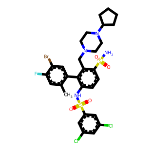 Cc1cc(F)c(Br)cc1-c1c(NS(=O)(=O)c2cc(Cl)cc(Cl)c2)ccc(S(N)(=O)=O)c1CN1CCN(C2CCCC2)CC1